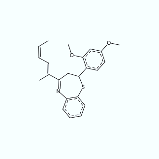 C/C=C\C=C(/C)C1=Nc2ccccc2SC(c2ccc(OC)cc2OC)C1